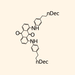 CCCCCCCCCCCCc1ccc(Nc2cccc3c2C(=O)c2c(Nc4ccc(CCCCCCCCCCCC)cc4)cccc2C3=O)cc1